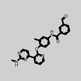 CNc1nccc(-c2cccnc2Oc2ccc(NC(=O)c3cccc(C=O)c3)cc2C)n1